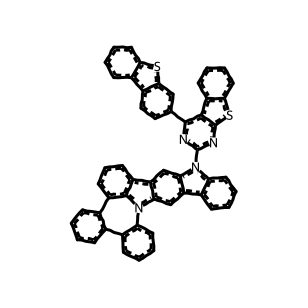 c1ccc2c(c1)-c1ccccc1-n1c3cc4c5ccccc5n(-c5nc(-c6ccc7c(c6)sc6ccccc67)c6c(n5)sc5ccccc56)c4cc3c3cccc-2c31